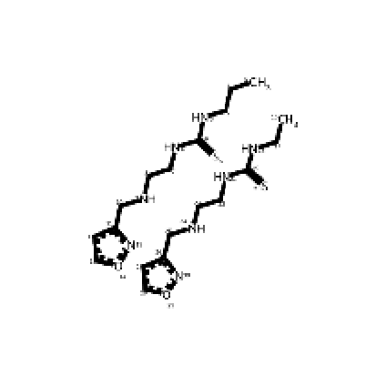 CCCNC(=S)NCCNCc1ccon1.CCNC(=S)NCCNCc1ccon1